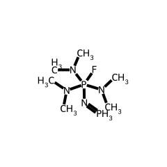 CN(C)P(F)(N=[PH3])(N(C)C)N(C)C